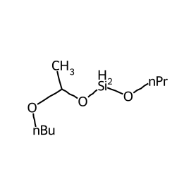 CCCCOC(C)O[SiH2]OCCC